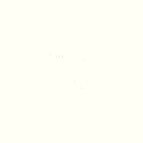 CCOC(=O)CC1CC=C(c2c(F)ccc3cnn(C)c23)CC1